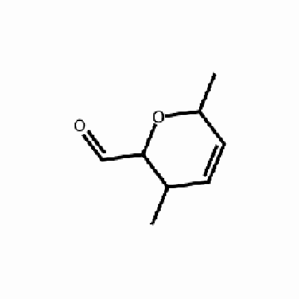 CC1C=CC(C)C(C=O)O1